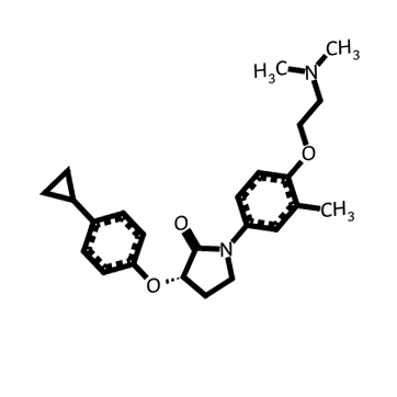 Cc1cc(N2CC[C@H](Oc3ccc(C4CC4)cc3)C2=O)ccc1OCCN(C)C